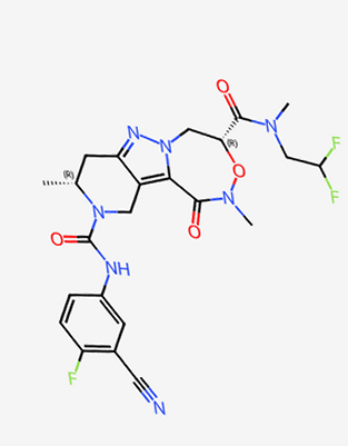 C[C@@H]1Cc2nn3c(c2CN1C(=O)Nc1ccc(F)c(C#N)c1)C(=O)N(C)O[C@@H](C(=O)N(C)CC(F)F)C3